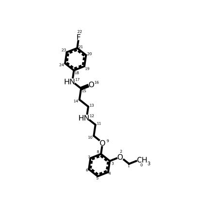 CCOc1ccccc1OCCNCCC(=O)Nc1ccc(F)cc1